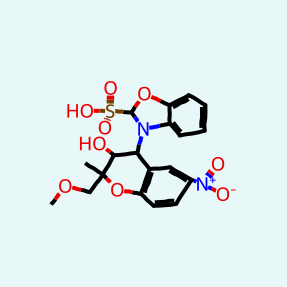 COCC1(C)Oc2ccc([N+](=O)[O-])cc2C(N2c3ccccc3OC2S(=O)(=O)O)C1O